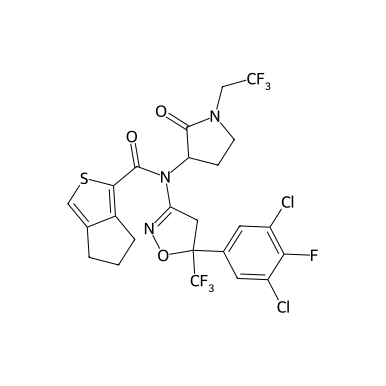 O=C1C(N(C(=O)c2scc3c2CCC3)C2=NOC(c3cc(Cl)c(F)c(Cl)c3)(C(F)(F)F)C2)CCN1CC(F)(F)F